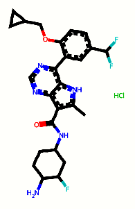 Cc1[nH]c2c(-c3cc(C(F)F)ccc3OCC3CC3)ncnc2c1C(=O)NC1CCC(N)C(F)C1.Cl